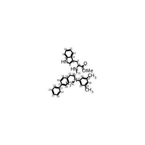 COC(=O)[C@H](Cc1c[nH]c2ccccc12)NC[C@@H](Cc1ccc(-c2ccccc2)cc1)N(C)c1cc(C)cc(C)c1